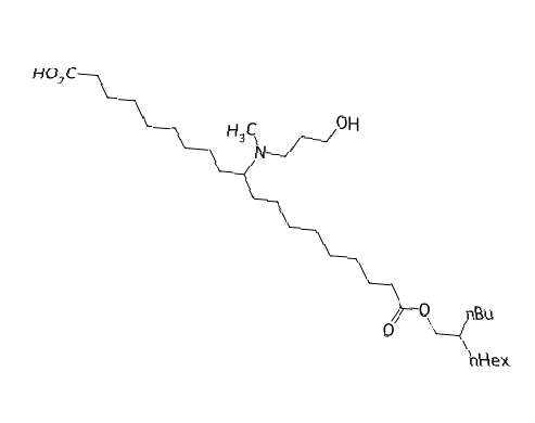 CCCCCCC(CCCC)COC(=O)CCCCCCCCC(CCCCCCCCC(=O)O)N(C)CCCO